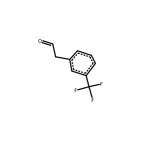 O=CCc1cccc(C(F)(F)F)c1